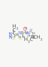 Cc1nnsc1-c1nc(C(=O)N2[CH]CC(C)(C)C2)cs1